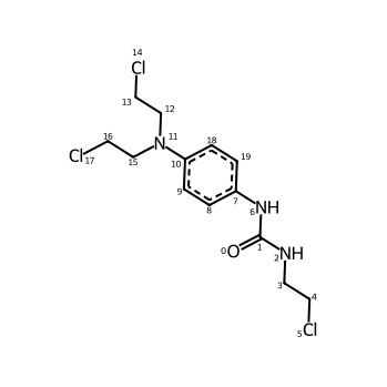 O=C(NCCCl)Nc1ccc(N(CCCl)CCCl)cc1